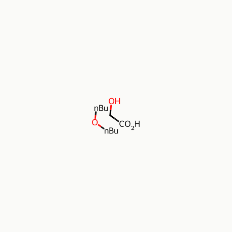 CCCCOCCCC.O=C(O)CO